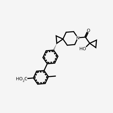 Cc1ccc(C(=O)O)cc1-c1ccc([C@@H]2CC23CCN(C(=O)C2(O)CC2)CC3)cc1